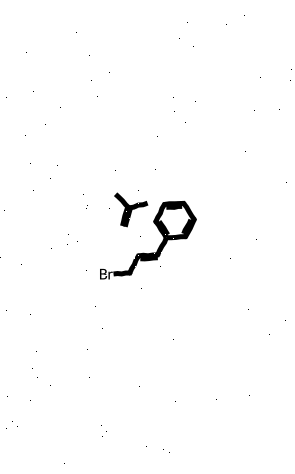 BrCC=Cc1ccccc1.C=C(C)C